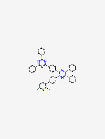 Cc1ccc(-c2ccc(-c3nc(-c4ccccc4)c(-c4ccccc4)nc3-c3ccc(-c4nc(-c5ccccc5)nc(-c5ccccc5)n4)cc3)cc2)c(C)n1